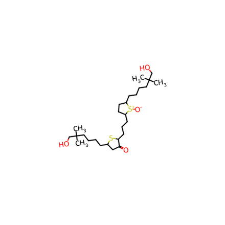 CC(C)(CO)CCCCC1CC(=O)C(CCCC2CCC(CCCCC(C)(C)CO)[S+]2[O-])S1